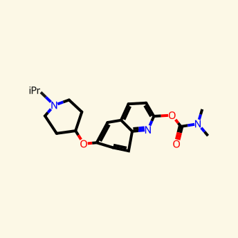 CC(C)N1CCC(Oc2ccc3nc(OC(=O)N(C)C)ccc3c2)CC1